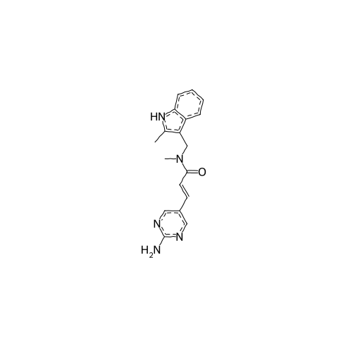 Cc1[nH]c2ccccc2c1CN(C)C(=O)/C=C/c1cnc(N)nc1